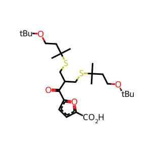 CC(C)(C)OCCC(C)(C)SCC(CSC(C)(C)CCOC(C)(C)C)C(=O)c1ccc(C(=O)O)o1